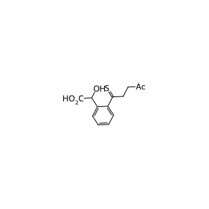 CC(=O)CCC(=S)c1ccccc1C(O)C(=O)O